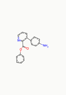 Nc1ccc(-c2cccnc2C(=O)Oc2ccccc2)cc1